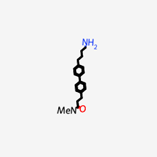 CNC(=O)CCc1ccc(-c2ccc(CCCCN)cc2)cc1